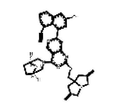 C#Cc1cccc2cc(O)cc(-c3cc4nc(OCC56CC(=C)CN5CC(=C)C6)nc(N5C[C@H]6CC[C@@H](C5)N6)c4cn3)c12